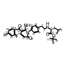 CC(C)C[C@H](NCCc1ccc(-n2c(N)c(C(=O)c3ccc(F)cc3F)ccc2=O)cc1)C(=O)OC(C)(C)C